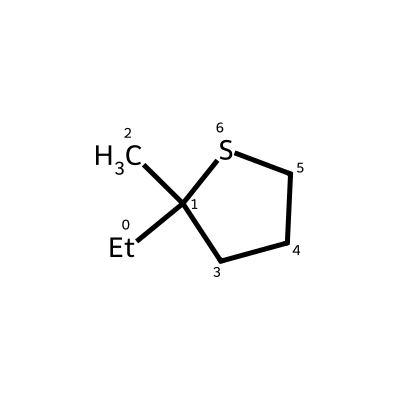 CCC1(C)CCCS1